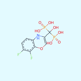 O=P(O)(O)C(O)(C1=COc2c(ccc(F)c2F)N1)P(=O)(O)O